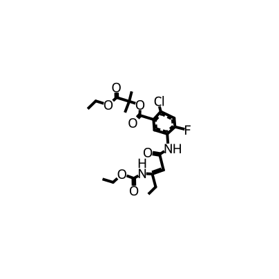 CCOC(=O)NC(=CC(=O)Nc1cc(C(=O)OC(C)(C)C(=O)OCC)c(Cl)cc1F)CC